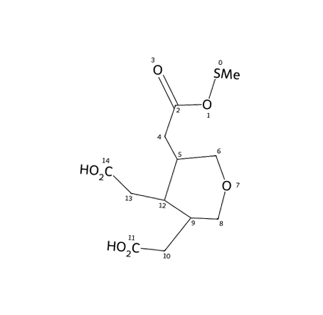 CSOC(=O)CC1COCC(CC(=O)O)C1CC(=O)O